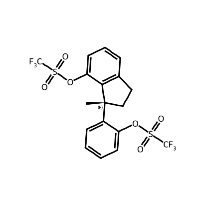 C[C@]1(c2ccccc2OS(=O)(=O)C(F)(F)F)CCc2cccc(OS(=O)(=O)C(F)(F)F)c21